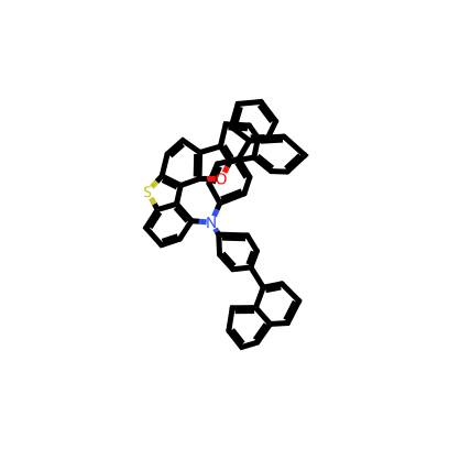 c1ccc(-c2ccc(N(c3ccc(-c4cccc5ccccc45)cc3)c3cccc4sc5ccc6c7ccc8ccccc8c7oc6c5c34)cc2)cc1